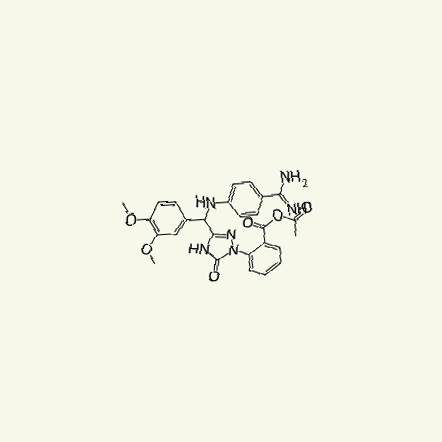 COc1ccc(C(Nc2ccc(C(=N)N)cc2)c2nn(-c3ccccc3C(=O)OC(C)=O)c(=O)[nH]2)cc1OC